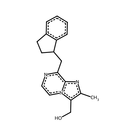 Cc1nc2c(CC3CCc4ccccc43)nccn2c1CO